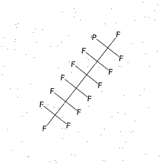 FC(F)(F)C(F)(F)C(F)(F)C(F)(F)C(F)(F)C(F)(F)[P]